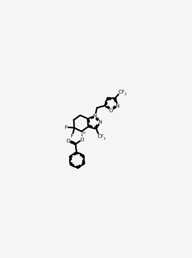 O=C(O[C@H]1c2c(C(F)(F)F)nn(Cc3cc(C(F)(F)F)no3)c2CCC1(F)F)c1ccccc1